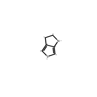 c1scc2c1CC[N]2